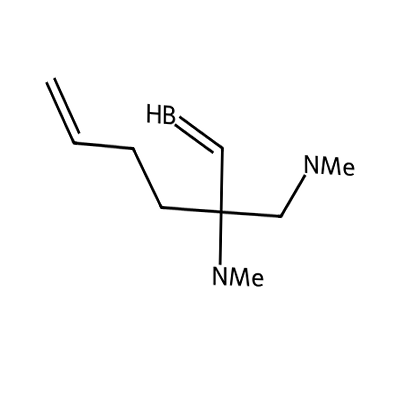 B=CC(CCC=C)(CNC)NC